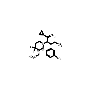 C=C(C1CC1)C(CCC(F)(F)F)N1CCC(F)(F)[C@H](CC(=O)O)[C@H]1c1ccc(C(F)(F)F)cc1